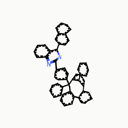 c1ccc(-c2c3cccc2C(c2ccccc2)(c2ccc(-c4nc(-c5ccc6ccccc6c5)c5ccccc5n4)cc2)c2ccccc2-c2ccccc2-3)cc1